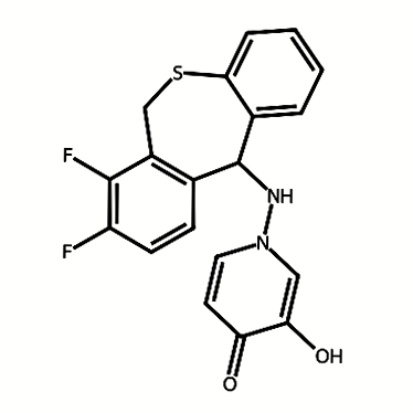 O=c1ccn(NC2c3ccccc3SCc3c2ccc(F)c3F)cc1O